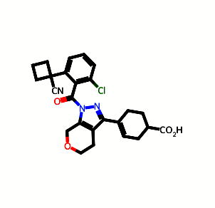 N#CC1(c2cccc(Cl)c2C(=O)n2nc(C3=CCC(C(=O)O)CC3)c3c2COCC3)CCC1